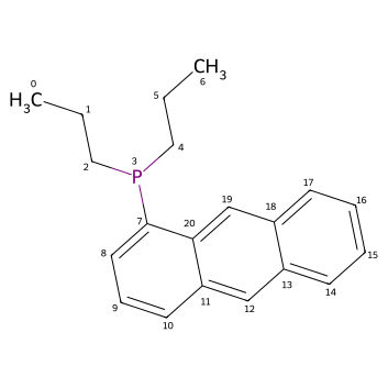 CCCP(CCC)c1cccc2cc3ccccc3cc12